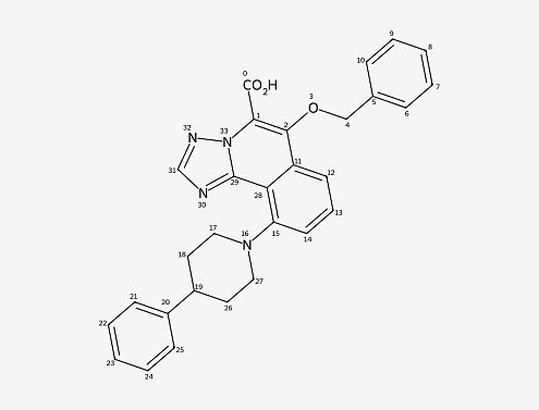 O=C(O)c1c(OCc2ccccc2)c2cccc(N3CCC(c4ccccc4)CC3)c2c2ncnn12